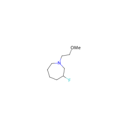 COCCN1CCCCC(F)C1